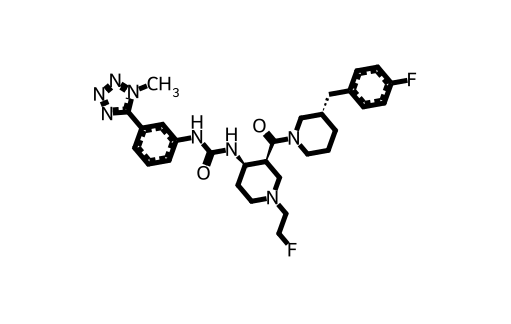 Cn1nnnc1-c1cccc(NC(=O)N[C@@H]2CCN(CCF)C[C@@H]2C(=O)N2CCC[C@@H](Cc3ccc(F)cc3)C2)c1